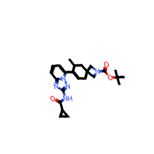 CC1CC2(CC=C1c1cccc3nc(NC(=O)C4CC4)nn13)CN(C(=O)OC(C)(C)C)C2